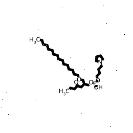 CCCCCCCCCCCCCCCCOCC(COP(O)OCCCCN1CCCC1)CC(=O)CCC